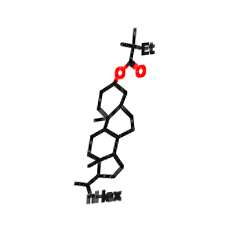 CCCCCCC(C)C1CCC2C3CCC4C[C@H](OC(=O)C(C)(C)CC)CCC4(C)C3CCC12C